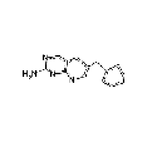 Nc1ncc2cc(Cc3ccccc3)cnc2n1